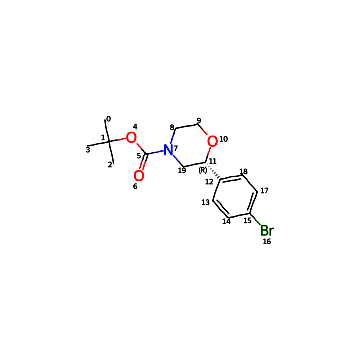 CC(C)(C)OC(=O)N1CCO[C@H](c2ccc(Br)cc2)C1